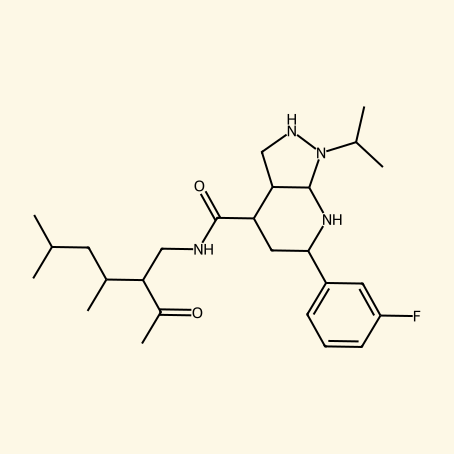 CC(=O)C(CNC(=O)C1CC(c2cccc(F)c2)NC2C1CNN2C(C)C)C(C)CC(C)C